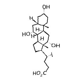 C[C@]12CC[C@@H](O)C[C@H]1C[C@@H](O)[C@@H]1[C@@H]2C[C@H](O)[C@]2(C)[C@@H]([C@H](I)CCC(=O)O)CC[C@@H]12